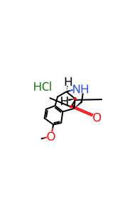 COc1ccc2c(c1)[C@]13CCN[C@H](C2)[C@@H]1CC(C)C(=O)C3.Cl